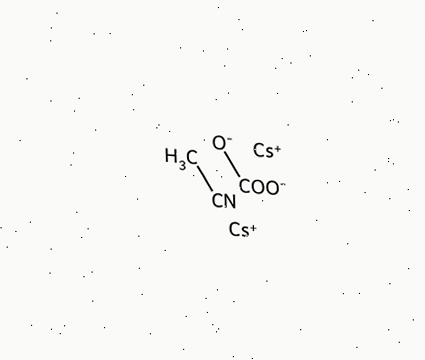 CC#N.O=C([O-])[O-].[Cs+].[Cs+]